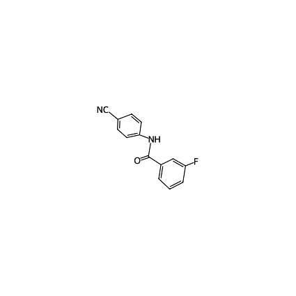 N#Cc1ccc(NC(=O)c2cccc(F)c2)cc1